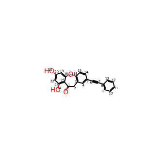 O=C1Cc2cc(C#Cc3ccccc3)ccc2Oc2cc(O)cc(O)c21